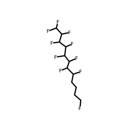 FCCCCC(F)C(F)C(F)C(F)C(F)C(F)C(F)C(F)F